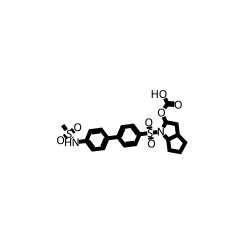 CS(=O)(=O)Nc1ccc(-c2ccc(S(=O)(=O)N3C(OC(=O)O)CC4CCCC43)cc2)cc1